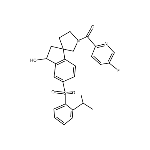 CC(C)c1ccccc1S(=O)(=O)c1ccc2c(c1)C(O)CC21CCN(C(=O)c2ccc(F)cn2)C1